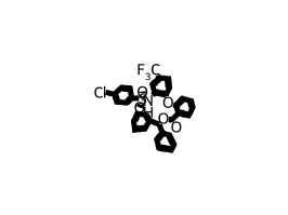 O=C(OC(c1ccccc1)c1ccccc1)c1ccccc1Oc1ccc(C(F)(F)F)cc1NS(=O)(=O)c1ccc(Cl)cc1